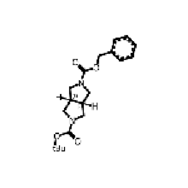 CC(C)(C)OC(=O)N1C[C@H]2CN(C(=O)OCc3ccccc3)C[C@H]2C1